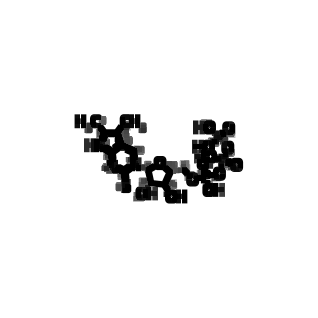 Cc1[nH]c2nc(=S)n([C@@H]3O[C@H](COP(=O)(O)OP(=O)(O)OP(=O)(O)O)C(O)[C@@H]3O)cc2c1C